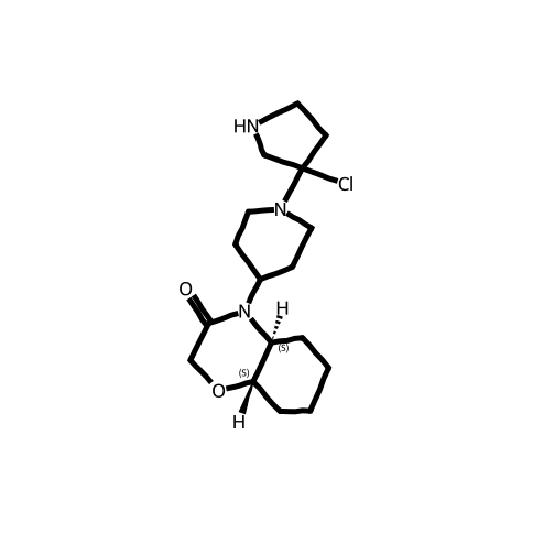 O=C1CO[C@H]2CCCC[C@@H]2N1C1CCN(C2(Cl)CCNC2)CC1